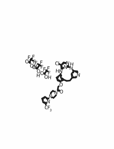 O=C(COc1ccc2cc1CCc1cncc(c1)Nc1ncc(Cl)c(n1)N2)N1CCN(c2cccc(C(F)(F)F)n2)CC1.O=C(O)C(F)(F)F.O=C(O)C(F)(F)F.O=C(O)C(F)(F)F